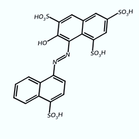 O=S(=O)(O)c1cc(S(=O)(=O)O)c2c(N=Nc3ccc(S(=O)(=O)O)c4ccccc34)c(O)c(S(=O)(=O)O)cc2c1